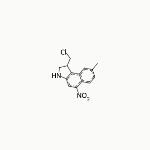 Cc1ccc2c([N+](=O)[O-])cc3c(c2c1)C(CCl)CN3